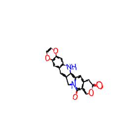 O=C1Cc2cc3n(c(=O)c2=CO1)CC1=Cc2cc4c(cc2NC=31)OC=CO4